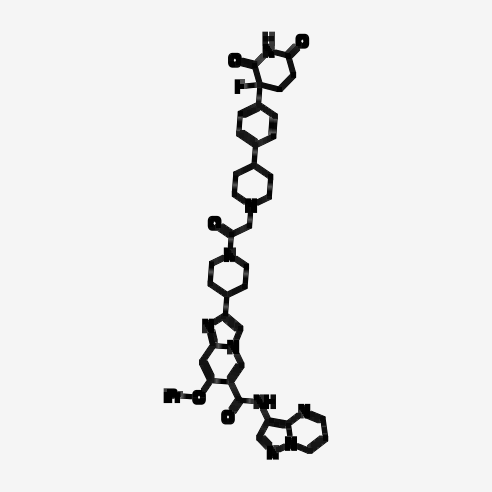 CC(C)Oc1cc2nc(C3CCN(C(=O)CN4CCC(c5ccc(C6(F)CCC(=O)NC6=O)cc5)CC4)CC3)cn2cc1C(=O)Nc1cnn2cccnc12